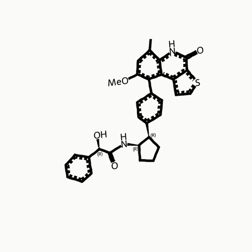 COc1cc(C)c2[nH]c(=O)c3sccc3c2c1-c1ccc([C@H]2CCC[C@H]2NC(=O)[C@H](O)c2ccccc2)cc1